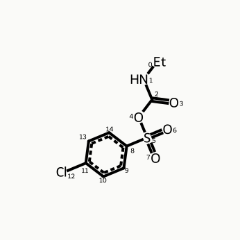 CCNC(=O)OS(=O)(=O)c1ccc(Cl)cc1